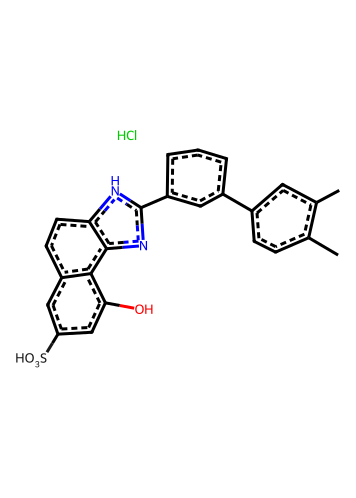 Cc1ccc(-c2cccc(-c3nc4c(ccc5cc(S(=O)(=O)O)cc(O)c54)[nH]3)c2)cc1C.Cl